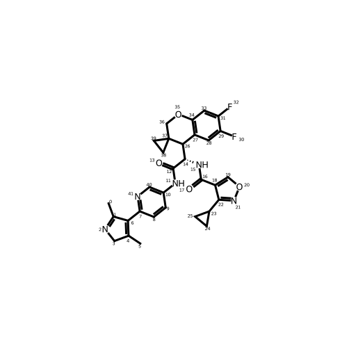 CC1=NCC(C)=C1c1ccc(NC(=O)[C@@H](NC(=O)c2conc2C2CC2)C2c3cc(F)c(F)cc3OCC23CC3)cn1